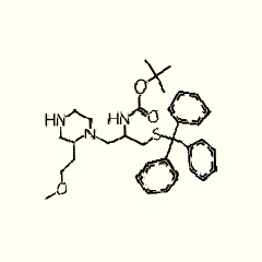 COCCC1CNCCN1CC(CSC(c1ccccc1)(c1ccccc1)c1ccccc1)NC(=O)OC(C)(C)C